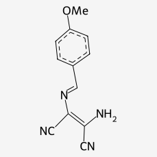 COc1ccc(C=NC(C#N)=C(N)C#N)cc1